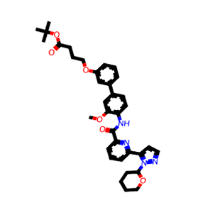 COc1cc(-c2cccc(OCCCC(=O)OC(C)(C)C)c2)ccc1NC(=O)c1cccc(-c2ccnn2C2CCCCO2)n1